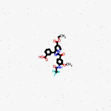 CCOC(=O)c1ccn2c(C(=O)c3ccc(NC(=O)C(F)(F)F)c(OC)c3)nc(-c3cccc(C(=O)O)c3)c2c1